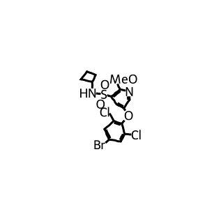 COc1ncc(Oc2c(Cl)cc(Br)cc2Cl)cc1S(=O)(=O)NC1CCC1